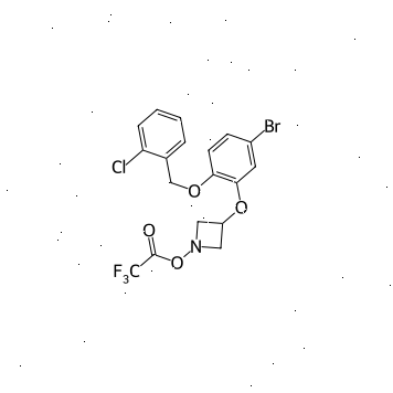 O=C(ON1CC(Oc2cc(Br)ccc2OCc2ccccc2Cl)C1)C(F)(F)F